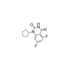 O=c1[nH]c(=O)n(C2CCCC2)c2cc(F)cc(F)c12